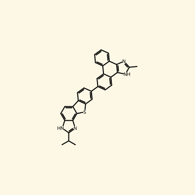 Cc1nc2c3ccccc3c3cc(-c4ccc5c(c4)sc4c5ccc5[nH]c(C(C)C)nc54)ccc3c2[nH]1